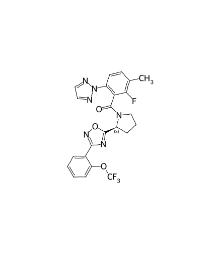 Cc1ccc(-n2nccn2)c(C(=O)N2CCC[C@H]2c2nc(-c3ccccc3OC(F)(F)F)no2)c1F